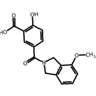 COc1cccc2c1CN(C(=O)c1ccc(O)c(C(=O)O)c1)C2